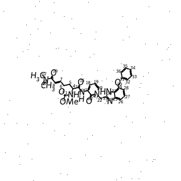 COC(=O)NC(CCC=CC(=O)N(C)C)C(=O)Nc1cccn(Cc2nc3cccc(Oc4ccccc4)c3[nH]2)c1=O